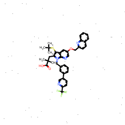 CC(C)(C)Sc1c(CC(C)(C)C(=O)O)n(Cc2cccc(-c3ccc(C(F)(F)F)nc3)c2)c2ncc(OCc3ccc4ccccc4n3)cc12